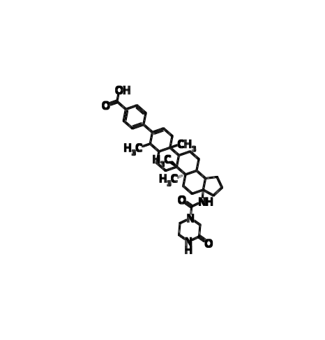 CC1C(c2ccc(C(=O)O)cc2)=CCC2(C)C1CC[C@]1(C)C2CCC2C3CCCC3(NC(=O)N3CCNC(=O)C3)CC[C@]21C